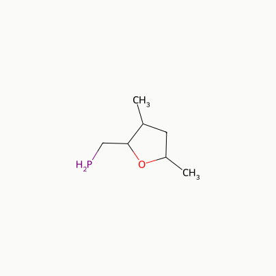 CC1CC(C)C(CP)O1